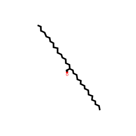 CCCCCCCCCCCCCCCCC([C]=O)CCCCCCCCCCCCCCCC